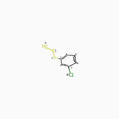 SSSc1cccc(Cl)c1